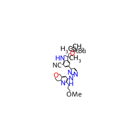 COCCCc1nc2c(cc1Nc1nccc(-c3cc(C#N)c4c(c3)[C@@](C)(CO[Si](C)(C)C(C)(C)C)CN4)n1)COCC2